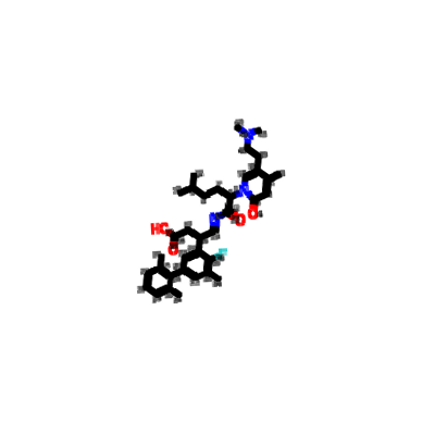 Cc1cc(=O)n(C(CCC(C)C)C(=O)/N=C/C(CC(=O)O)c2cc(-c3c(C)cccc3C)cc(C)c2F)cc1CCN(C)C